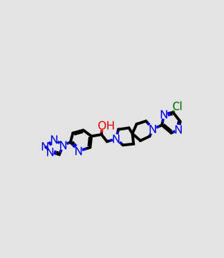 OC(CN1CCC2(CC1)CCN(c1cncc(Cl)n1)CC2)c1ccc(-n2cnnn2)nc1